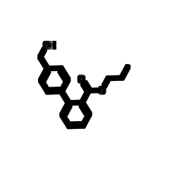 CCCOC(=O)c1ccccc1-c1ccc(CO)cc1